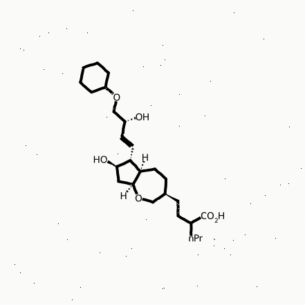 CCCC(CC[C@@H]1CC[C@@H]2[C@@H](C=C[C@@H](O)COC3CCCCC3)[C@H](O)C[C@@H]2OC1)C(=O)O